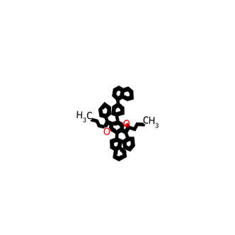 CCCCc1oc2c(-c3ccc4ccccc4c3)c3c(-c4ccccc4)c(CCCC)oc3c(-c3ccc(-c4cccc5ccccc45)cc3)c2c1-c1ccccc1